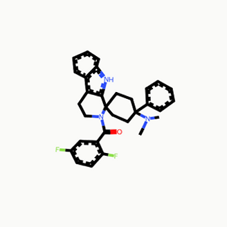 CN(C)C1(c2ccccc2)CCC2(CC1)c1[nH]c3ccccc3c1CCN2C(=O)c1cc(F)ccc1F